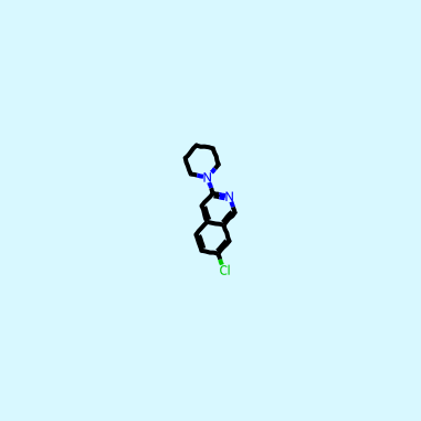 Clc1ccc2cc(N3CCCCC3)ncc2c1